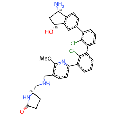 COc1nc(-c2cccc(-c3cccc(-c4ccc5c(c4)[C@H](O)C[C@@H]5N)c3Cl)c2Cl)ccc1CNC[C@@H]1CCC(=O)N1